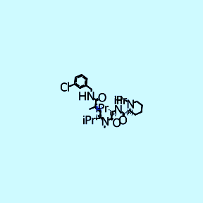 C/C(=C\[C@H](C(C)C)N(C)C(=O)[C@@H](NC(=O)[C@H]1CCCCN1C(C)C)C(C)C)C(=O)NCc1cccc(Cl)c1